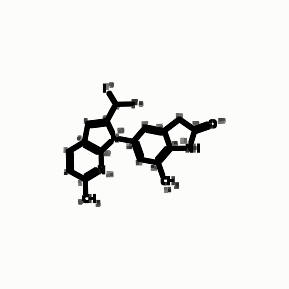 Cc1ccc2cc(C(F)F)n(-c3cc(C)c4c(c3)CC(=O)N4)c2n1